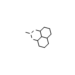 ClP1OC2CCCC3CCCC(O1)C32